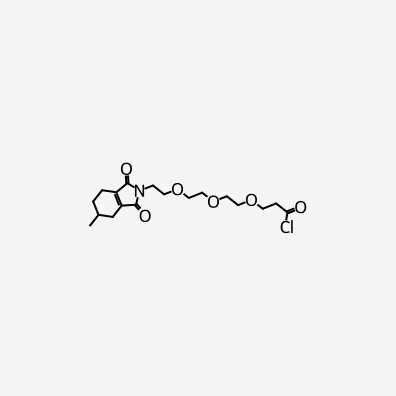 CC1CCC2=C(C1)C(=O)N(CCOCCOCCOCCC(=O)Cl)C2=O